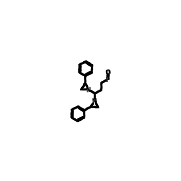 O=PCCC(N1CC1c1ccccc1)N1CC1c1ccccc1